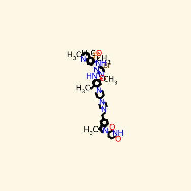 CCc1cc(Nc2ncc(Br)c(Nc3ccc4nc(C)ccc4c3P(C)(C)=O)n2)c(OC)cc1N1CCC(N2CCN(CCc3ccc4c(c3)c(C)cn4C3CCC(=O)NC3=O)CC2)CC1